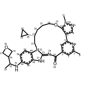 Cc1cc2cc(n1)-c1cnn(C)c1OCCC[C@@H](C1CC1)CN1/C(=N/C2=O)Nc2cc(NC(C)C3COC3)ccc21